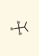 CC(C)C(Br)(Br)Br